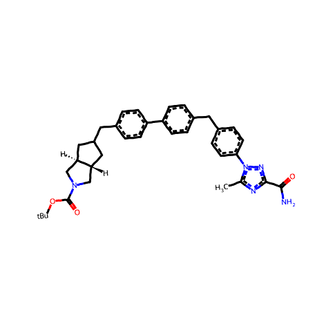 Cc1nc(C(N)=O)nn1-c1ccc(Cc2ccc(-c3ccc(CC4C[C@@H]5CN(C(=O)OC(C)(C)C)C[C@H]5C4)cc3)cc2)cc1